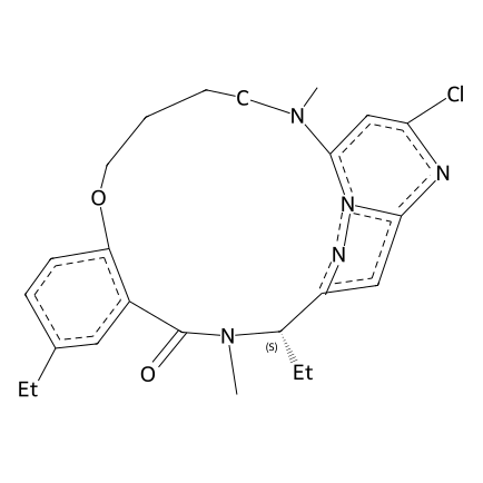 CCc1ccc2c(c1)C(=O)N(C)[C@@H](CC)c1cc3nc(Cl)cc(n3n1)N(C)CCCCO2